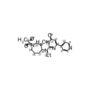 CCN(c1nc(-c2ccncc2)cc(=O)n1C)C1CCCN(S(C)(=O)=O)CC1